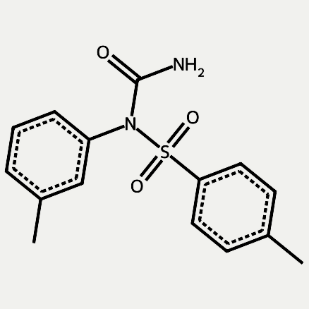 Cc1ccc(S(=O)(=O)N(C(N)=O)c2cccc(C)c2)cc1